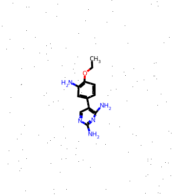 CCOc1ccc(-c2cnc(N)nc2N)cc1N